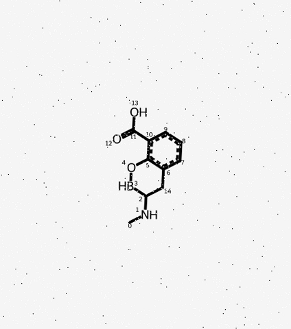 CNC1BOc2c(cccc2C(=O)O)C1